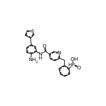 Nc1ccc(-c2ccsc2)cc1NC(=O)c1ccc(Cc2ccccc2[PH](=O)O)nc1